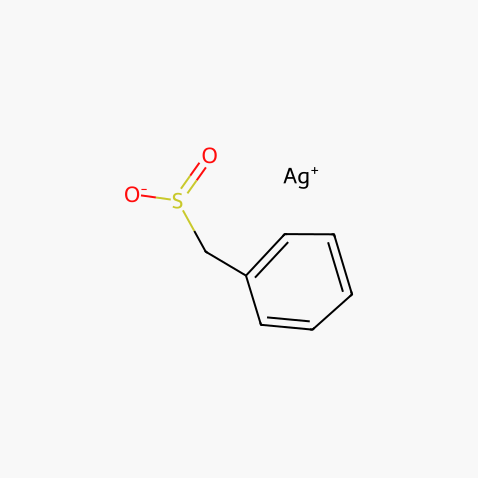 O=S([O-])Cc1ccccc1.[Ag+]